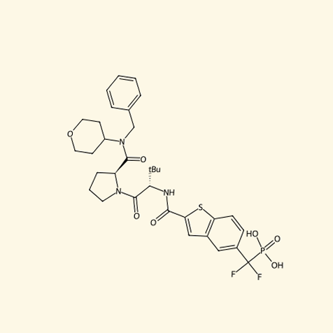 CC(C)(C)[C@H](NC(=O)c1cc2cc(C(F)(F)P(=O)(O)O)ccc2s1)C(=O)N1CCC[C@H]1C(=O)N(Cc1ccccc1)C1CCOCC1